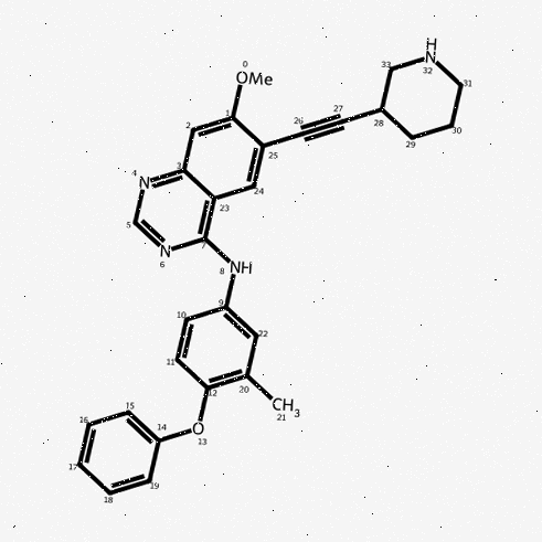 COc1cc2ncnc(Nc3ccc(Oc4ccccc4)c(C)c3)c2cc1C#CC1CCCNC1